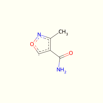 Cc1no[c]c1C(N)=O